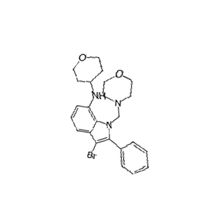 Brc1c(-c2ccccc2)n(CN2CCOCC2)c2c(NC3CCOCC3)cccc12